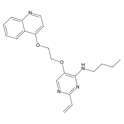 C=Cc1ncc(OCCOc2ccnc3ccccc23)c(NCCCC)n1